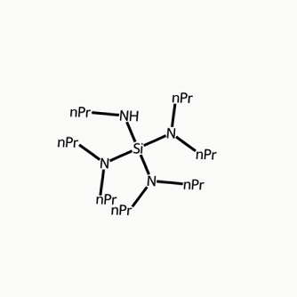 CCCN[Si](N(CCC)CCC)(N(CCC)CCC)N(CCC)CCC